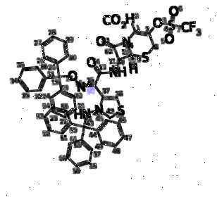 O=C(O)C1=C(OS(=O)(=O)C(F)(F)F)CS[C@H]2[C@H](NC(=O)/C(=N\OC(c3ccccc3)(c3ccccc3)c3ccccc3)C3=CSCN3NC(c3ccccc3)(c3ccccc3)c3ccccc3)C(=O)N12